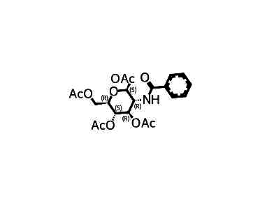 CC(=O)OC[C@H]1O[C@@H](OC(C)=O)[C@H](NC(=O)c2ccccc2)[C@@H](OC(C)=O)[C@@H]1OC(C)=O